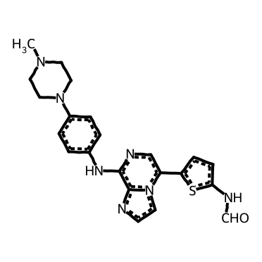 CN1CCN(c2ccc(Nc3ncc(-c4ccc(NC=O)s4)n4ccnc34)cc2)CC1